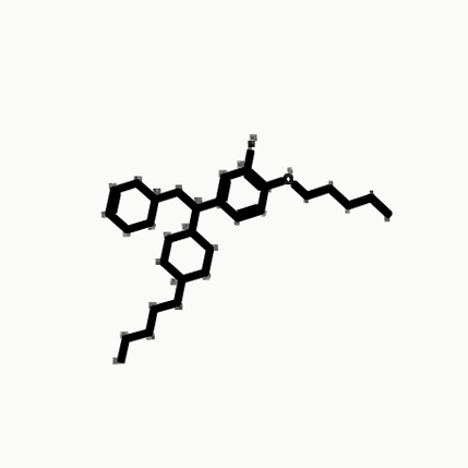 CCCCCOc1ccc(C(CC2CC=CCC2)C2CCC(CCCCC)CC2)cc1F